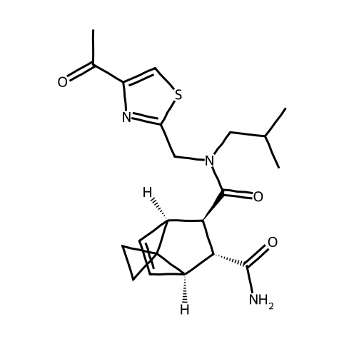 CC(=O)c1csc(CN(CC(C)C)C(=O)[C@H]2[C@H](C(N)=O)[C@H]3C=C[C@@H]2C32CC2)n1